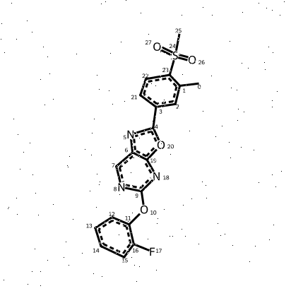 Cc1cc(-c2nc3cnc(Oc4ccccc4F)nc3o2)ccc1S(C)(=O)=O